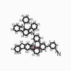 N#Cc1cccc(-c2ccc(C#N)c(-c3ccc(-n4c5ccccc5c5c4ccc4c6ccccc6n(-c6ccccc6)c45)cc3-n3c4ccccc4c4cc5c(cc43)Cc3ccccc3-5)c2)c1